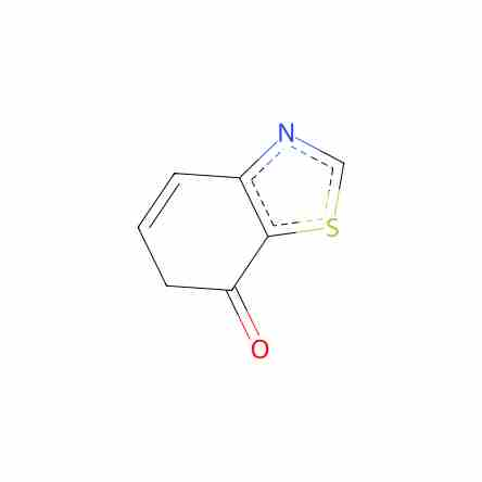 O=C1CC=Cc2ncsc21